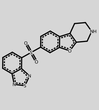 O=S(=O)(c1ccc2c3c(oc2c1)CNCC3)c1cccc2nsnc12